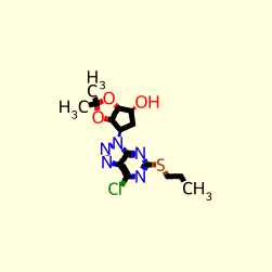 CCCSc1nc(Cl)c2nnn([C@@H]3C[C@H](O)C4OC(C)(C)OC43)c2n1